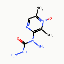 NNC(=O)N(N)c1ncc([N+](=O)[O-])[n+]([O-])c1[N+](=O)[O-]